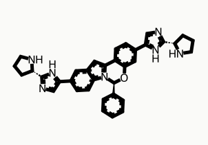 c1ccc([C@@H]2Oc3cc(-c4cnc([C@@H]5CCCN5)[nH]4)ccc3-c3cc4cc(-c5cnc([C@@H]6CCCN6)[nH]5)ccc4n32)cc1